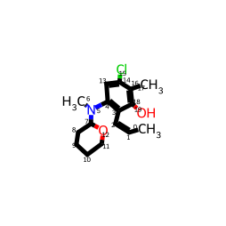 C/C=C\c1c(N(C)C2CCCCO2)cc(Cl)c(C)c1O